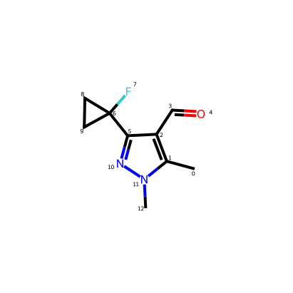 Cc1c(C=O)c(C2(F)CC2)nn1C